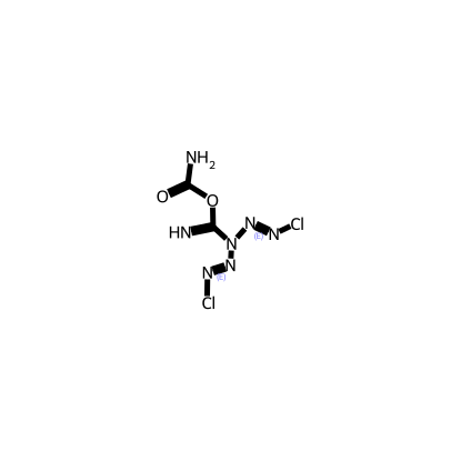 N=C(OC(N)=O)N(/N=N/Cl)/N=N/Cl